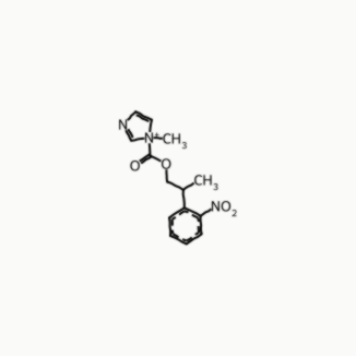 CC(COC(=O)[N+]1(C)C=CN=C1)c1ccccc1[N+](=O)[O-]